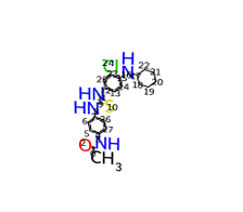 CC(=O)Nc1ccc(NC(=S)Nc2ccc(NC3CCCCC3)c(Cl)c2)cc1